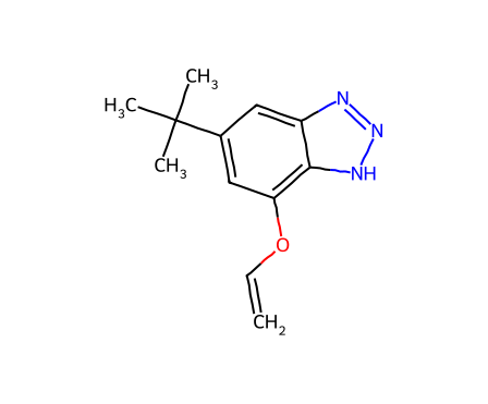 C=COc1cc(C(C)(C)C)cc2nn[nH]c12